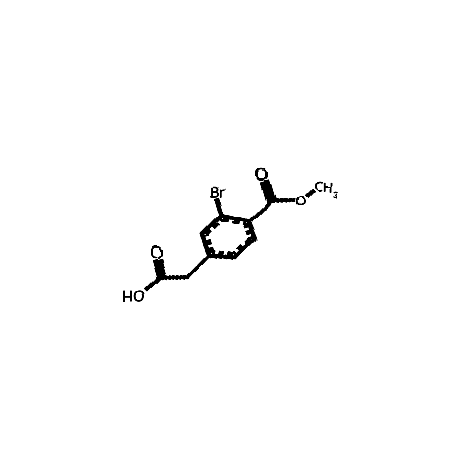 COC(=O)c1ccc(CC(=O)O)cc1Br